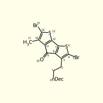 CCCCCCCCCCCCc1c(Br)sc2c1C(=O)c1c-2sc(Br)c1C